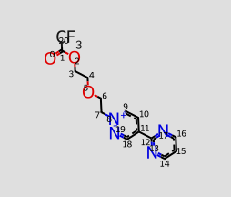 O=C(OCCOCC[n+]1ccc(-c2ncccn2)cn1)C(F)(F)F